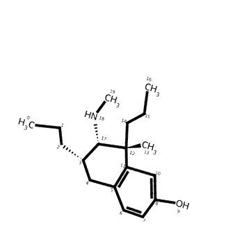 CCC[C@H]1Cc2ccc(O)cc2[C@@](C)(CCC)[C@H]1NC